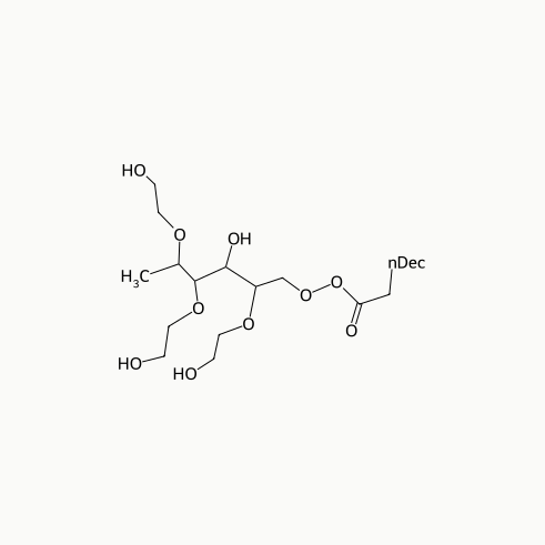 CCCCCCCCCCCC(=O)OOCC(OCCO)C(O)C(OCCO)C(C)OCCO